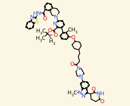 Cc1c(OC2CCC(CCCC(=O)N3CCN(c4ccc5c(C6CCC(=O)NC6=O)nn(C)c5c4)CC3)CC2)cccc1-c1ccc(N2CCc3cccc(C(=O)Nc4nc5ccccc5s4)c3C2)nc1C(=O)OC(C)(C)C